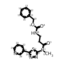 CN(C(=O)CCNC(=O)OCc1ccccc1)c1nnc(-c2cccnc2)s1